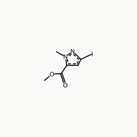 COC(=O)c1cc(I)nn1C